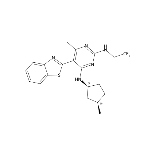 Cc1nc(NCC(F)(F)F)nc(N[C@H]2CC[C@@H](C)C2)c1-c1nc2ccccc2s1